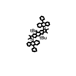 Cc1c(C)n(-c2c3ccccc3c(-c3ccccc3)c3ccccc23)c2cc3c(C(C)(C)C)c4cc5c(C)c(C)n(-c6c7ccccc7c(-c7ccccc7)c7ccccc67)c5cc4c(C(C)(C)C)c3cc12